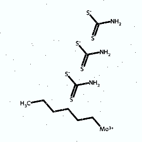 CCCCC[CH2][Mo+3].NC(=S)[S-].NC(=S)[S-].NC(=S)[S-]